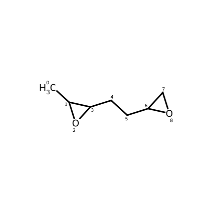 CC1OC1CCC1CO1